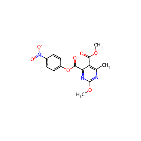 COC(=O)c1c(C)nc(OC)nc1C(=O)Oc1ccc([N+](=O)[O-])cc1